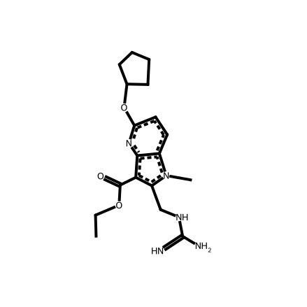 CCOC(=O)c1c(CNC(=N)N)n(C)c2ccc(OC3CCCC3)nc12